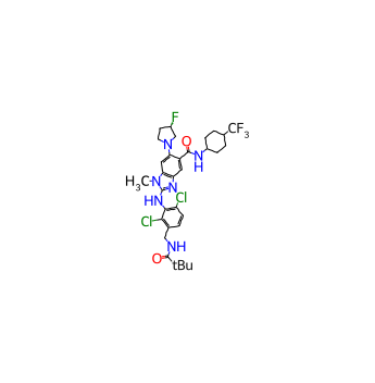 Cn1c(Nc2c(Cl)ccc(CNC(=O)C(C)(C)C)c2Cl)nc2cc(C(=O)NC3CCC(C(F)(F)F)CC3)c(N3CC[C@@H](F)C3)cc21